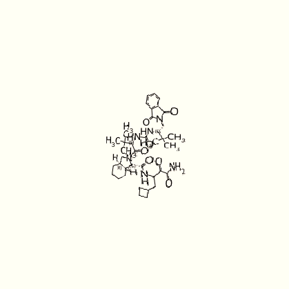 CC(C)(C)[C@H](NC(=O)N[C@H](CN1C(=O)c2ccccc2C1=O)C(C)(C)C)C(=O)N1C[C@@H]2CCCC[C@@H]2[C@H]1C(=O)NC(CC1CCC1)C(=O)C(N)=O